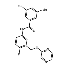 CC(C)(C)c1cc(C(=O)Nc2ccc(F)c(COc3cnccn3)c2)cc(C(C)(C)C)c1